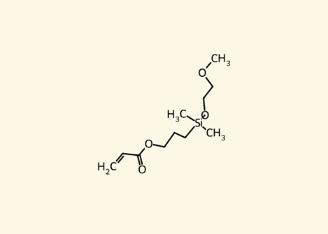 C=CC(=O)OCCC[Si](C)(C)OCCOC